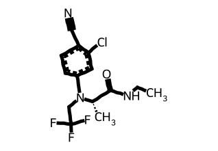 CCNC(=O)[C@H](C)N(CC(F)(F)F)c1ccc(C#N)c(Cl)c1